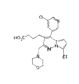 CCc1ccc2c(-c3cncc(Cl)c3)c(CCCC(=O)O)c(CN3CCOCC3)nn12